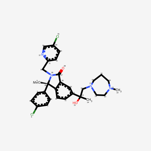 CO[C@]1(c2ccc(Cl)cc2)c2ccc(C(C)(O)CN3CCCN(C)CC3)cc2C(=O)N1Cc1ccc(Cl)cn1